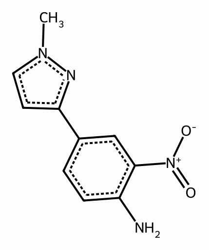 Cn1ccc(-c2ccc(N)c([N+](=O)[O-])c2)n1